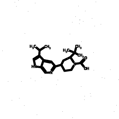 CC(C)c1c[nH]c2cnc(C3CCN(C(=O)O)C(C(C)(C)C)C3)cc12